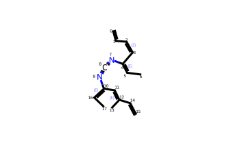 C=C/C=C\C(=C/C)N=C=NC(/C=C(\C)C=C)=C/C